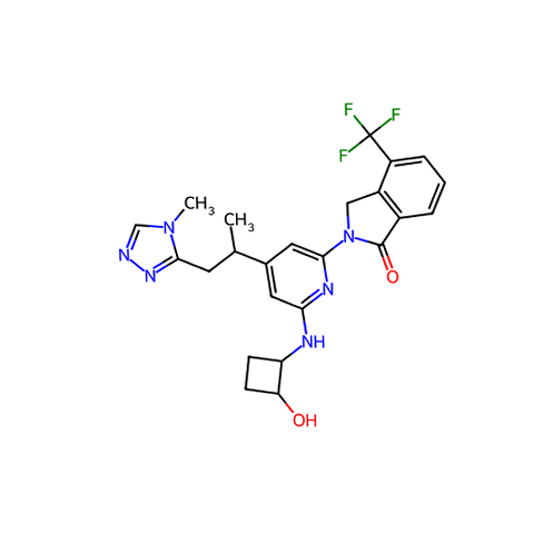 CC(Cc1nncn1C)c1cc(NC2CCC2O)nc(N2Cc3c(cccc3C(F)(F)F)C2=O)c1